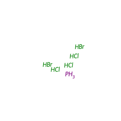 Br.Br.Cl.Cl.Cl.P